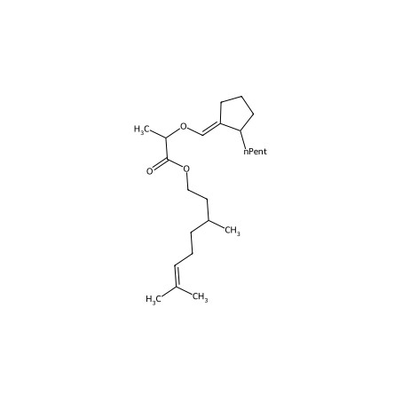 CCCCCC1CCCC1=COC(C)C(=O)OCCC(C)CCC=C(C)C